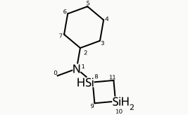 CN(C1CCCCC1)[SiH]1C[SiH2]C1